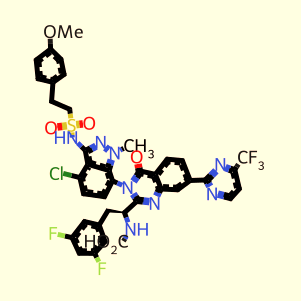 COc1ccc(CCS(=O)(=O)Nc2nn(C)c3c(-n4c([C@H](Cc5cc(F)cc(F)c5)NC(=O)O)nc5cc(-c6nccc(C(F)(F)F)n6)ccc5c4=O)ccc(Cl)c23)cc1